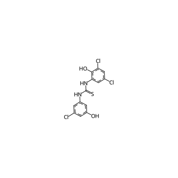 Oc1cc(Cl)cc(NC(=S)Nc2cc(Cl)cc(Cl)c2O)c1